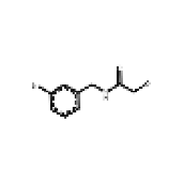 [O]CC(=O)NCc1cccc(Br)c1